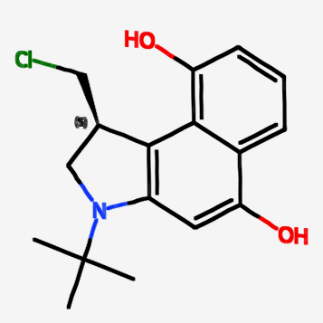 CC(C)(C)N1C[C@@H](CCl)c2c1cc(O)c1cccc(O)c21